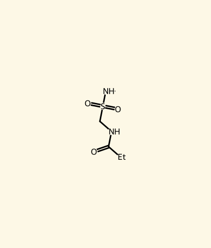 CCC(=O)NCS([NH])(=O)=O